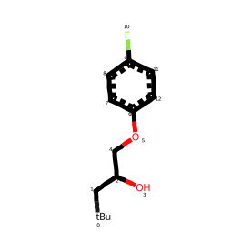 CC(C)(C)[CH]C(O)COc1ccc(F)cc1